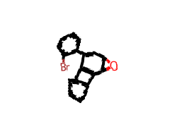 Brc1ccccc1C1=CC2OC2C2=C1c1ccccc12